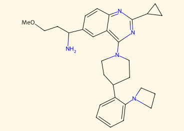 COCCC(N)c1ccc2nc(C3CC3)nc(N3CCC(c4ccccc4N4CCC4)CC3)c2c1